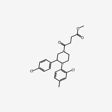 COC(=O)CCC(=O)N1CCN(c2ccc(C)cc2Cl)C(c2ccc(Cl)cc2)C1